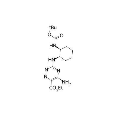 CCOC(=O)c1nnc(N[C@@H]2CCCC[C@@H]2NC(=O)OC(C)(C)C)nc1N